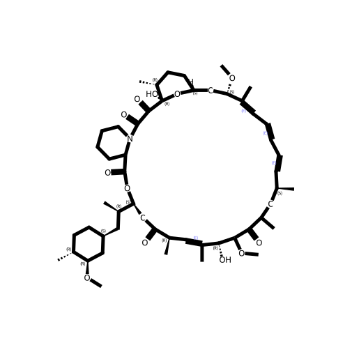 COC1C(=O)C(C)C[C@H](C)/C=C/C=C/C=C(\C)[C@@H](OC)C[C@@H]2CC[C@@H](C)[C@@](O)(O2)C(=O)C(=O)N2CCCCC2C(=O)O[C@H]([C@H](C)C[C@@H]2CC[C@@H](C)[C@H](OC)C2)CC(=O)[C@H](C)/C=C(\C)[C@H]1O